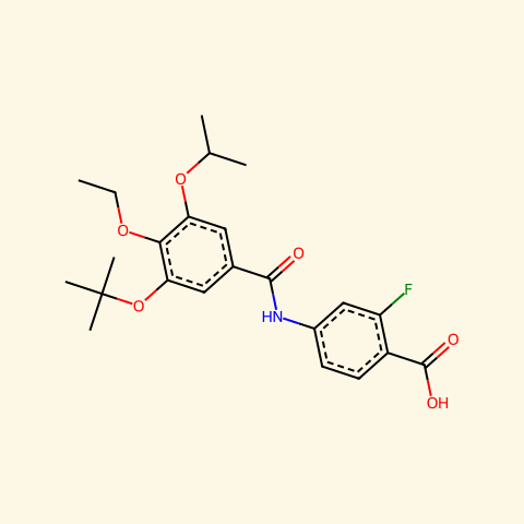 CCOc1c(OC(C)C)cc(C(=O)Nc2ccc(C(=O)O)c(F)c2)cc1OC(C)(C)C